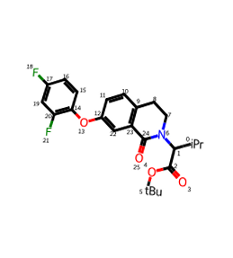 CC(C)C(C(=O)OC(C)(C)C)N1CCc2ccc(Oc3ccc(F)cc3F)cc2C1=O